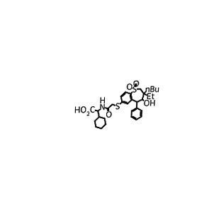 CCCCC1(CC)CS(=O)(=O)c2ccc(SCC(=O)NC(C(=O)O)C3CCCCC3)cc2C(c2ccccc2)C1O